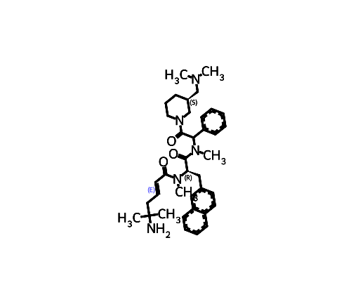 CN(C)C[C@@H]1CCCN(C(=O)C(c2ccccc2)N(C)C(=O)[C@@H](Cc2ccc3ccccc3c2)N(C)C(=O)/C=C/CC(C)(C)N)C1